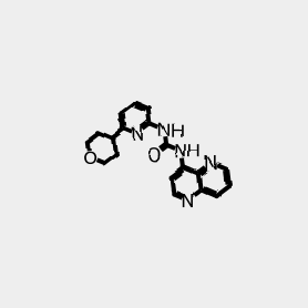 O=C(Nc1cccc(C2CCOCC2)n1)Nc1ccnc2cccnc12